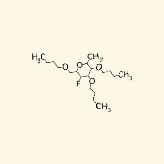 CCCCOCC1OC(C)C(OCCCC)C(OCCCC)C1F